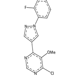 COc1c(Cl)ncnc1-c1cnn(-c2ccccc2F)c1